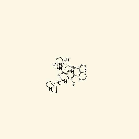 CCC#Cc1cccc2cccc(-c3ncc4c(N5C[C@H]6CC[C@@H](C5)N6)nc(OCC56CCCN5CCC6)nc4c3F)c12